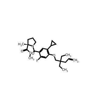 C=CCC(CC)(CC)COc1cc(F)c(C(=O)N2CCC[C@@]2(C)C(=O)OC)cc1C1CC1